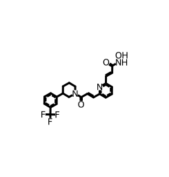 O=C(/C=C/c1cccc(/C=C/C(=O)N2CCCC(c3cccc(C(F)(F)F)c3)C2)n1)NO